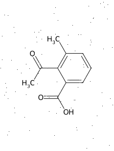 CC(=O)c1c(C)cccc1C(=O)O